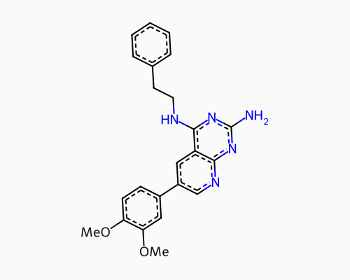 COc1ccc(-c2cnc3nc(N)nc(NCCc4ccccc4)c3c2)cc1OC